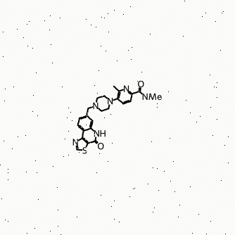 CNC(=O)c1ccc(N2CCN(Cc3ccc4c(c3)[nH]c(=O)c3scnc34)CC2)c(C)n1